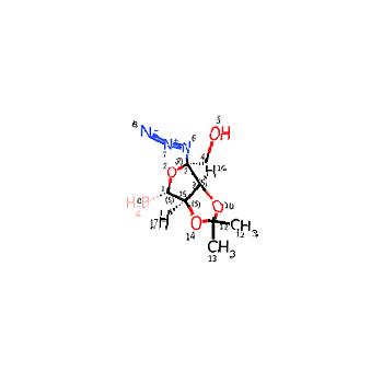 B[C@@H]1O[C@@](CO)(N=[N+]=[N-])[C@H]2OC(C)(C)O[C@@H]12